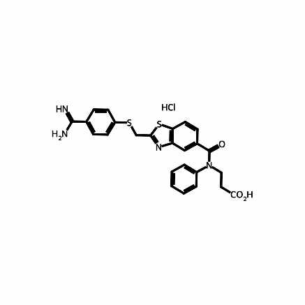 Cl.N=C(N)c1ccc(SCc2nc3cc(C(=O)N(CCC(=O)O)c4ccccc4)ccc3s2)cc1